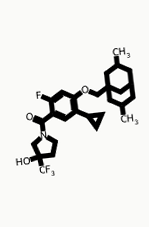 CC1CC2CC(C)CC(COc3cc(F)c(C(=O)N4CCC(O)(C(F)(F)F)C4)cc3C3CC3)(C1)C2